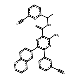 CC(NC(=O)c1nc(-c2ccc3ncccc3c2)c(-c2cccc(C#N)c2)nc1N)c1cccc(C#N)n1